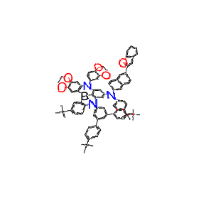 CC(C)(C)c1ccc(-c2cc(-c3ccc(C(C)(C)C)cc3)cc(N3c4ccc(C(C)(C)C)cc4B4c5cc6c(cc5N(c5ccc7c(c5)OCCO7)c5cc(N(c7ccc(C(C)(C)C)cc7)c7ccc8cc(-c9cc%10ccccc%10o9)ccc8c7)cc3c54)OCCO6)c2)cc1